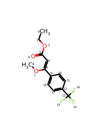 CCOC(=O)C=C(OC)c1ccc(C(F)(F)F)cc1